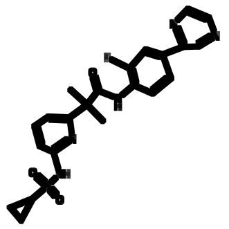 CC(C)(C(=O)Nc1ccc(-c2cnccn2)cc1F)c1cccc(NS(=O)(=O)C2CC2)n1